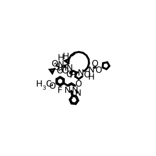 COc1cccc(-c2cc(O[C@@H]3C[C@H]4C(=O)N[C@]5(C(=O)NS(=O)(=O)C6CC6)C[C@H]5/C=C\CCCCC[C@H](NC(=O)OC5CCCC5)C(=O)N4C3)n3nc4ccccc4c3n2)c1F